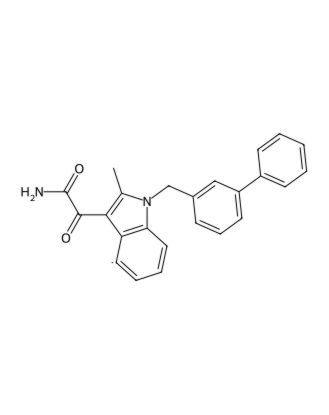 Cc1c(C(=O)C(N)=O)c2[c]cccc2n1Cc1cccc(-c2ccccc2)c1